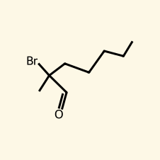 CCCCCC(C)(Br)C=O